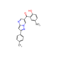 O=C(c1cnc2cc(-c3ccc(C(F)(F)F)cc3)nn2c1)c1cc([N+](=O)[O-])ccc1O